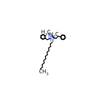 CCCCCCCCCCCCCCC[n+]1c(CC(C)c2ccccc2)cn(CC)c1Cc1ccccc1